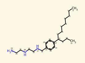 CCCCCCCCC(CCC)c1ccc(CNCCNCCN)cc1